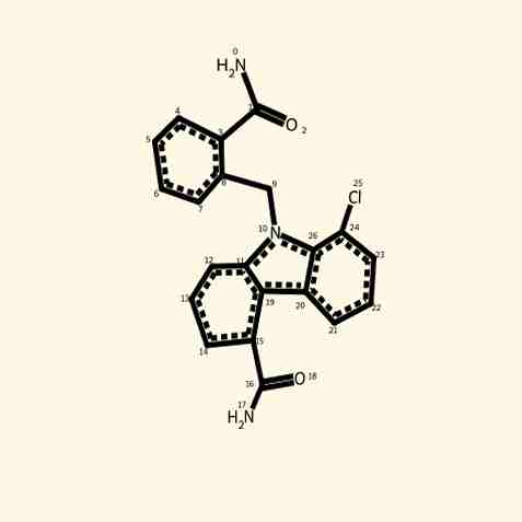 NC(=O)c1ccccc1Cn1c2cccc(C(N)=O)c2c2[c]ccc(Cl)c21